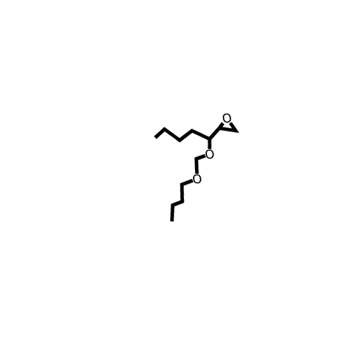 CCCCOCOC(CCCC)C1CO1